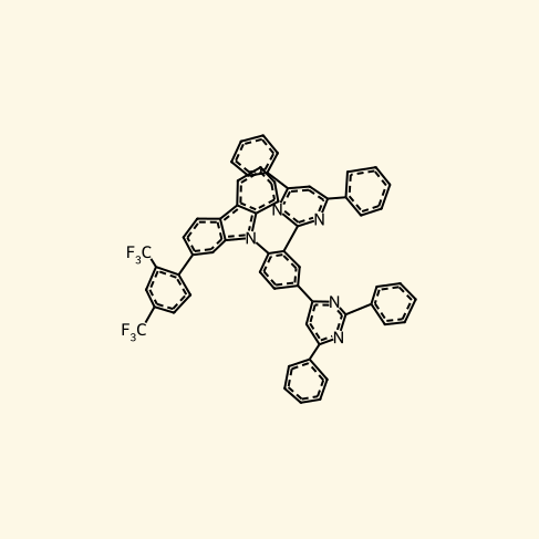 FC(F)(F)c1ccc(-c2ccc3c4ccccc4n(-c4ccc(-c5cc(-c6ccccc6)nc(-c6ccccc6)n5)cc4-c4nc(-c5ccccc5)cc(-c5ccccc5)n4)c3c2)c(C(F)(F)F)c1